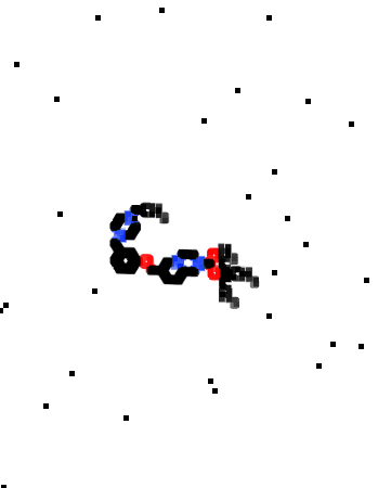 CCN1CCN(Cc2cccc(OCC3CCC4CN(C(=O)OC(C)(C)C)CCN4C3)c2)CC1